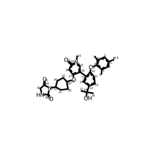 Cc1cc(F)cc(C)c1Oc1ccc(C(C)(C)O)cc1-c1cn(C)c(=O)cc1OC1CCC(N2C(=O)CNC2=O)CC1